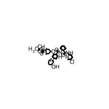 CC(C)(C)OC(=O)N1CCC(Oc2cc(N3CCCC(O)C3)ccc2C(=O)Nc2ccccc2C(=O)Nc2ccc(Cl)cn2)CC1